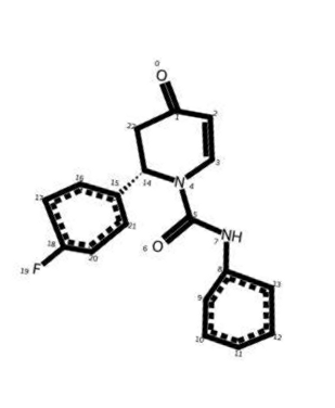 O=C1C=CN(C(=O)Nc2ccccc2)[C@H](c2ccc(F)cc2)C1